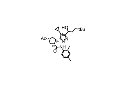 CC(=O)N1C[C@H](C(=O)Nc2ccc(C)cc2C)[C@@H](c2nnc(C(O)CCC(C)(C)C)n2C2CC2)C1